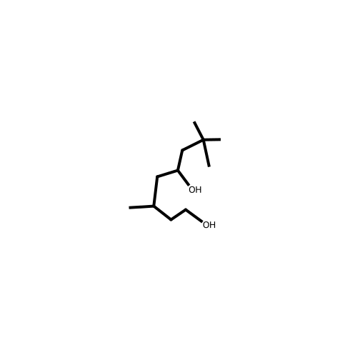 CC(CCO)CC(O)CC(C)(C)C